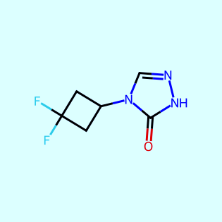 O=c1[nH]ncn1C1CC(F)(F)C1